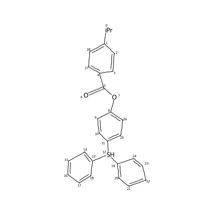 CC(C)c1ccc(C(=O)Oc2ccc([SH](c3ccccc3)c3ccccc3)cc2)cc1